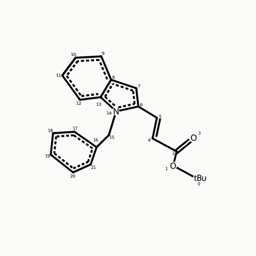 CC(C)(C)OC(=O)/C=C/c1cc2ccccc2n1Cc1ccccc1